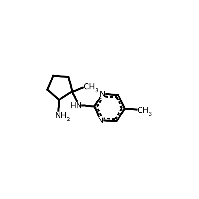 Cc1cnc(NC2(C)CCCC2N)nc1